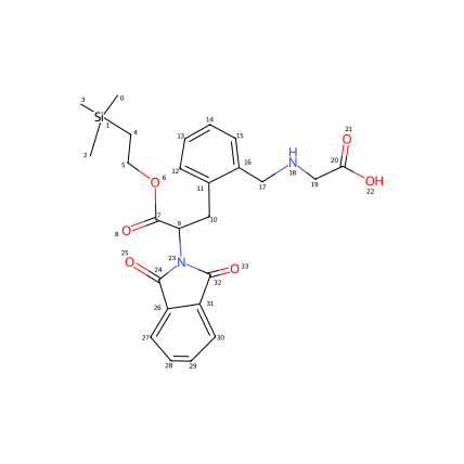 C[Si](C)(C)CCOC(=O)C(Cc1ccccc1CNCC(=O)O)N1C(=O)c2ccccc2C1=O